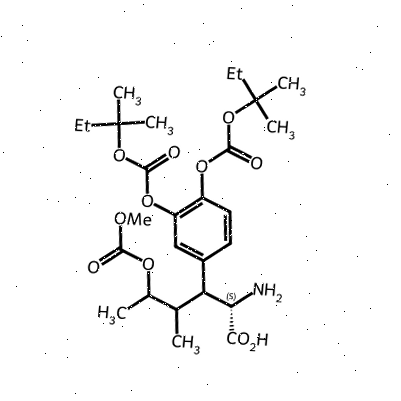 CCC(C)(C)OC(=O)Oc1ccc(C(C(C)C(C)OC(=O)OC)[C@H](N)C(=O)O)cc1OC(=O)OC(C)(C)CC